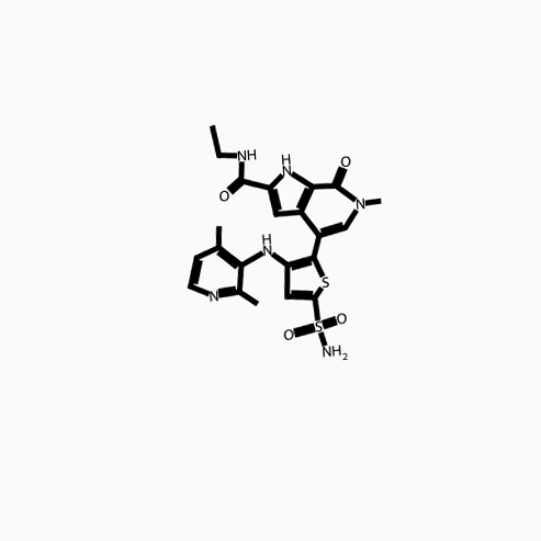 CCNC(=O)c1cc2c(-c3sc(S(N)(=O)=O)cc3Nc3c(C)ccnc3C)cn(C)c(=O)c2[nH]1